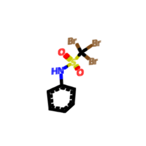 O=S(=O)(Nc1ccccc1)C(Br)(Br)Br